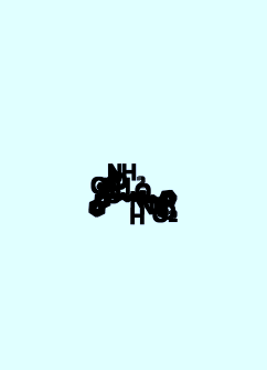 NC(=O)CNC(=O)c1cc2ccccc2cc1OCCCCNC(=O)[C@@H](N)CC1=CS(=O)(=O)c2ccccc21